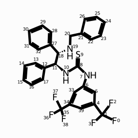 FC(F)(F)c1cc(NC(=S)N[C@@H](c2ccccc2)[C@@H](NCc2ccccc2)c2ccccc2)cc(C(F)(F)F)c1